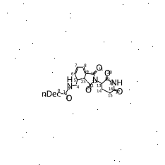 CCCCCCCCCCC(=O)NCC1C=CC=C2C(=O)N(C3CCC(=O)NC3=O)C(=O)C21